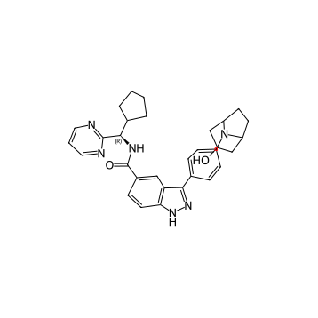 O=C(N[C@@H](c1ncccn1)C1CCCC1)c1ccc2[nH]nc(-c3ccc(N4C5CCC4CC(O)C5)cc3)c2c1